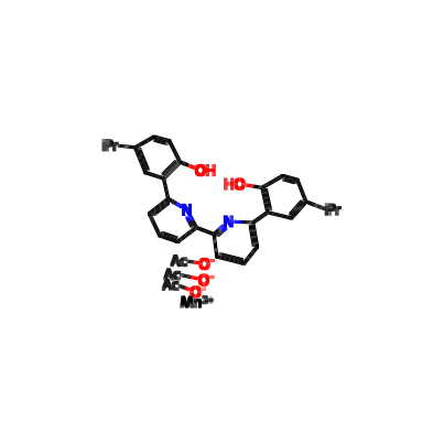 CC(=O)[O-].CC(=O)[O-].CC(=O)[O-].CC(C)c1ccc(O)c(-c2cccc(-c3cccc(-c4cc(C(C)C)ccc4O)n3)n2)c1.[Mn+3]